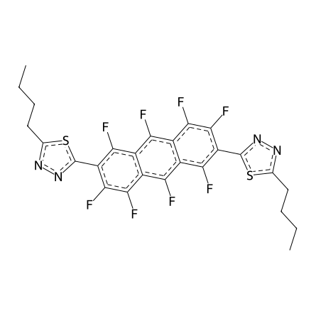 CCCCc1nnc(-c2c(F)c(F)c3c(F)c4c(F)c(-c5nnc(CCCC)s5)c(F)c(F)c4c(F)c3c2F)s1